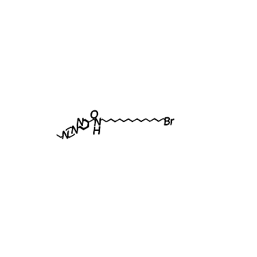 CCN1CCN(c2ccc(C(=O)NCCCCCCCCCCCCCCCBr)cn2)CC1